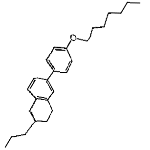 CCCCCCCOc1ccc(-c2ccc3c(c2)CCC(CCC)C3)cc1